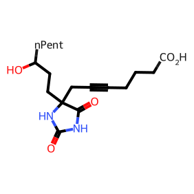 CCCCCC(O)CCC1(CC#CCCCC(=O)O)NC(=O)NC1=O